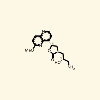 COc1ccc2nccc([C@@H]3CN(C[C@@H](O)CN)C(=O)O3)c2n1